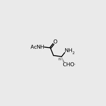 CC(=O)NC(=O)C[C@H](N)[C]=O